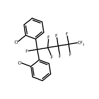 FC(F)(F)C(F)(F)C(F)(F)C(F)(F)C(F)(c1ccccc1Cl)c1ccccc1Cl